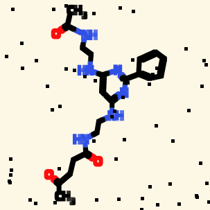 CC(=O)CCC(=O)NCCNc1cc(NCCNC(C)=O)nc(-c2ccccc2)n1